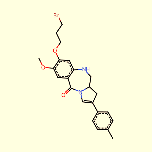 COc1cc2c(cc1OCCCBr)NCC1CC(c3ccc(C)cc3)=CN1C2=O